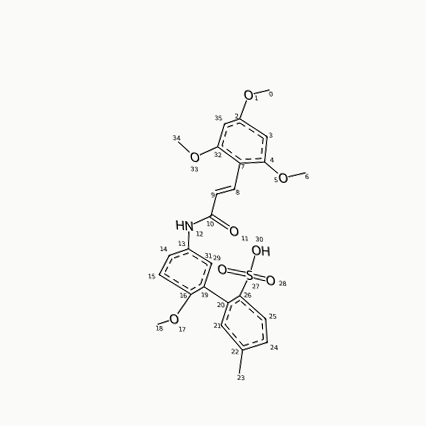 COc1cc(OC)c(C=CC(=O)Nc2ccc(OC)c(-c3cc(C)ccc3S(=O)(=O)O)c2)c(OC)c1